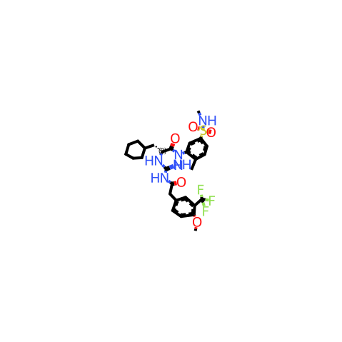 CNS(=O)(=O)c1ccc(C)c(NC(=O)[C@@H](CC2CCCCC2)NC(=N)NC(=O)Cc2ccc(OC)c(C(F)(F)F)c2)c1